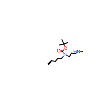 C=CCCCN(CCCNC)C(=O)OC(C)(C)C